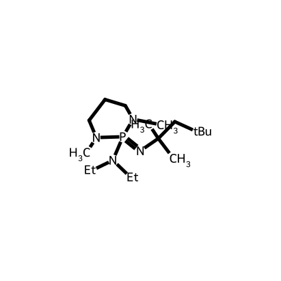 CCN(CC)P1(=NC(C)(C)CC(C)(C)C)N(C)CCCN1C